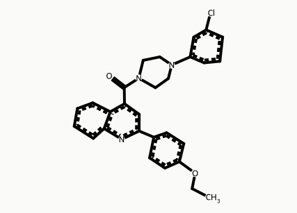 CCOc1ccc(-c2cc(C(=O)N3CCN(c4cccc(Cl)c4)CC3)c3ccccc3n2)cc1